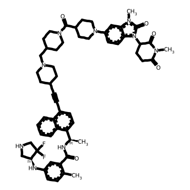 Cc1ccc(N[C@H]2CNCC2(F)F)cc1C(=O)N[C@H](C)c1ccc(C#CC2CCN(CC3CCN(C(=O)C4CCN(c5ccc6c(c5)n(C)c(=O)n6C5CCC(=O)N(C)C5=O)CC4)CC3)CC2)c2ccccc12